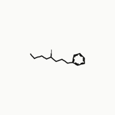 CCCCC(I)CCCc1ccccc1